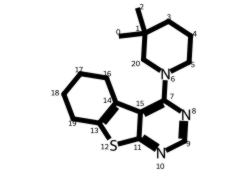 CC1(C)CCCN(c2ncnc3sc4c(c23)CCCC4)C1